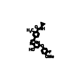 COc1ccc(Oc2cc(O)c3ncc(-c4ccc(C(=O)NC5CC5)c(C)c4)n3n2)cc1F